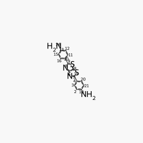 Nc1ccc(-c2nc3nc(-c4ccc(N)cc4)sc3s2)cc1